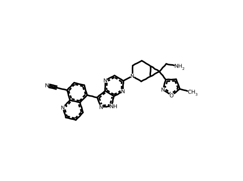 Cc1cc(C2(CN)C3CCN(c4cnc5c(-c6ccc(C#N)c7ncccc67)n[nH]c5n4)CC32)no1